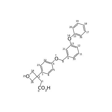 O=C(O)CC1(c2ccc(OCc3cccc(Oc4ccccc4)c3)cc2)COC1